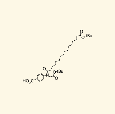 CC(C)(C)OC(=O)CCCCCCCCCCCCCCC(=O)N(CC(=O)OC(C)(C)C)c1ccc(C(=O)O)cc1